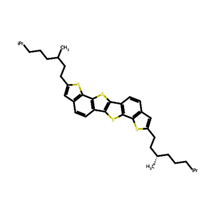 CC(C)CCCC(C)CCc1cc2ccc3c(sc4c5ccc6cc(CC[C@@H](C)CCCC(C)C)sc6c5sc34)c2s1